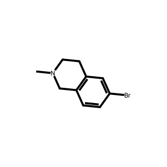 CN1CCc2cc(Br)ccc2C1